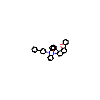 c1ccc(-c2ccc(N(c3ccccc3)c3ccccc3-n3c4ccccc4c4c5c(ccc6c7ccccc7oc65)ccc43)cc2)cc1